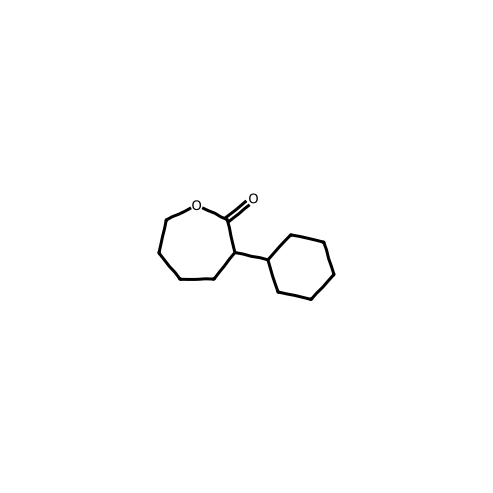 O=C1OCCCCC1C1CCCCC1